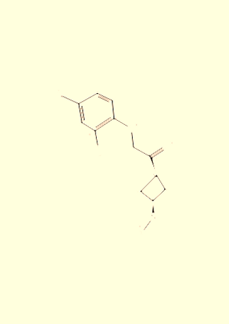 CC(C)N[C@H]1C[C@@H](C(=O)COc2ccc(Cl)cc2Cl)C1